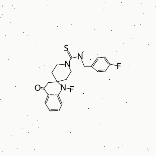 CN(Cc1ccc(F)cc1)C(=S)N1CCC2(CC1)CC(=O)c1ccccc1N2F